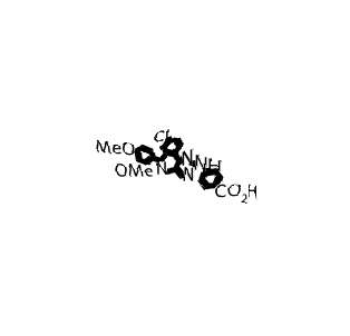 COc1ccc(C2=NCc3cnc(Nc4ccc(C(=O)O)cc4)nc3-c3ccc(Cl)cc32)c(OC)c1